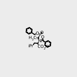 CC(C)CC(N[C@H](C)P(=O)(OCc1ccccc1)OCc1ccccc1)C(=O)O